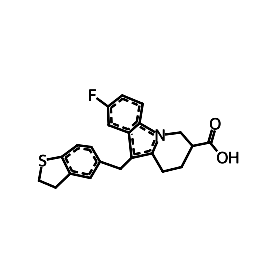 O=C(O)C1CCc2c(Cc3ccc4c(c3)CCS4)c3cc(F)ccc3n2C1